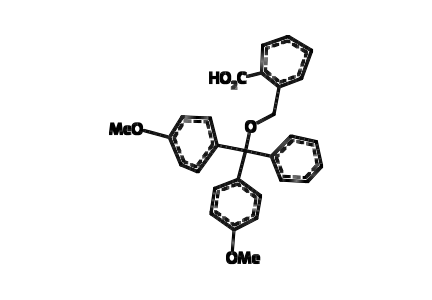 COc1ccc(C(OCc2ccccc2C(=O)O)(c2ccccc2)c2ccc(OC)cc2)cc1